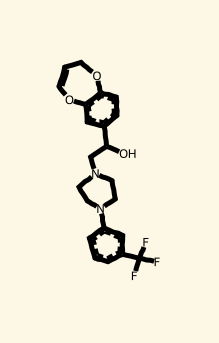 OC(CN1CCN(c2cccc(C(F)(F)F)c2)CC1)c1ccc2c(c1)OC=CCO2